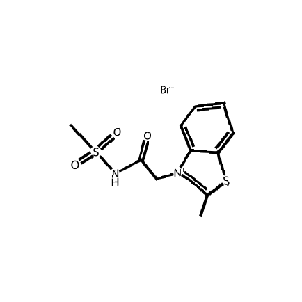 Cc1sc2ccccc2[n+]1CC(=O)NS(C)(=O)=O.[Br-]